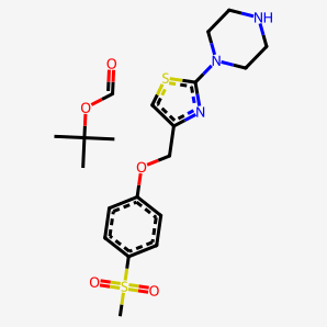 CC(C)(C)OC=O.CS(=O)(=O)c1ccc(OCc2csc(N3CCNCC3)n2)cc1